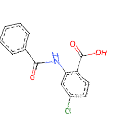 O=C(Nc1cc(Cl)ccc1C(=O)O)c1ccccc1